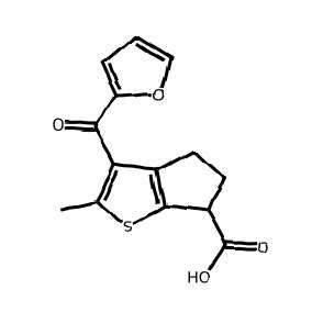 Cc1sc2c(c1C(=O)c1ccco1)CCC2C(=O)O